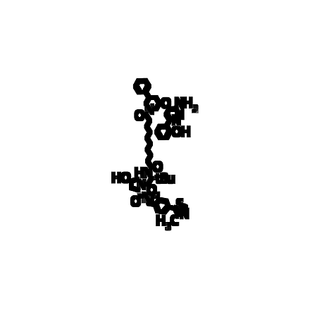 Cc1ncsc1-c1ccc(CNC(=O)[C@@H]2C[C@@H](O)CN2C(=O)[C@@H](NC(=O)CCCCCCCCC(=O)N2CC(Oc3cc(-c4ccccc4O)nnc3N)CC(c3ccccc3)C2)C(C)(C)C)cc1